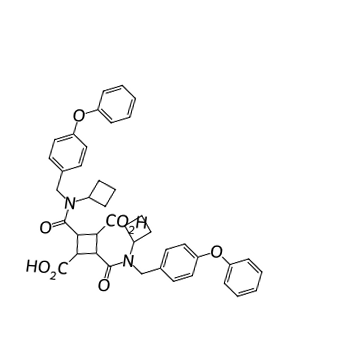 O=C(O)C1C(C(=O)N(Cc2ccc(Oc3ccccc3)cc2)C2CCC2)C(C(=O)O)C1C(=O)N(Cc1ccc(Oc2ccccc2)cc1)C1CCC1